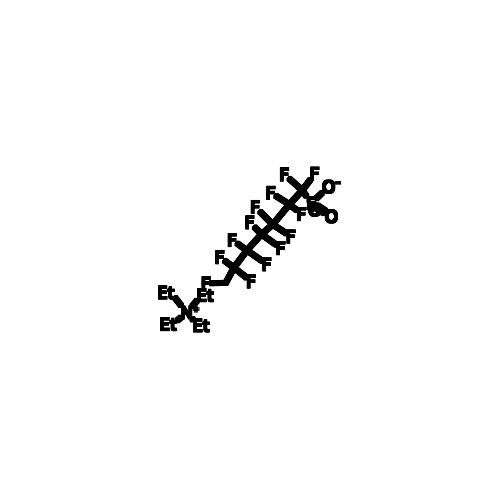 CC[N+](CC)(CC)CC.O=S(=O)([O-])C(F)(F)C(F)(F)C(F)(F)C(F)(F)C(F)(F)C(F)(F)CF